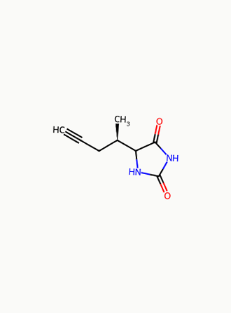 C#CC[C@@H](C)C1NC(=O)NC1=O